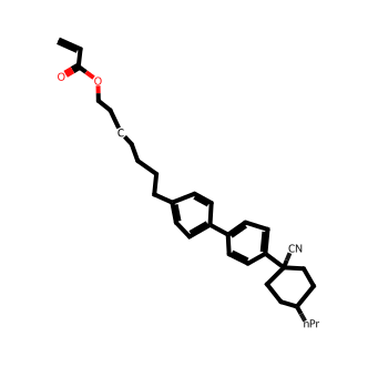 C=CC(=O)OCCCCCCCc1ccc(-c2ccc(C3(C#N)CCC(CCC)CC3)cc2)cc1